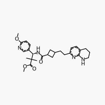 COC(=O)C(C)(C)[C@H](NC(=O)C1CC(CCc2ccc3c(n2)NCCC3)C1)c1ccc(OC)nc1